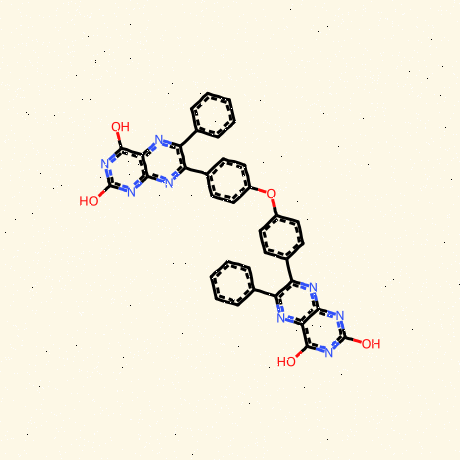 Oc1nc(O)c2nc(-c3ccccc3)c(-c3ccc(Oc4ccc(-c5nc6nc(O)nc(O)c6nc5-c5ccccc5)cc4)cc3)nc2n1